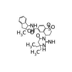 CCC1(CC)CC(=O)N([C@H]2CCS(=O)(=O)c3ccc(C(=O)N[C@@H]4c5ccccc5C[C@]4(C)O)cc32)C(=N)N1